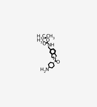 CC(C)(C)OC(=O)NCc1ccc2c(c1)CN(C(=O)[C@H]1CC[C@H](N)CC1)C2